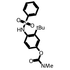 CNC(=O)Oc1ccc(NS(=O)(=O)c2ccccc2)c(C(C)(C)C)c1